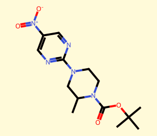 CC1CN(c2ncc([N+](=O)[O-])cn2)CCN1C(=O)OC(C)(C)C